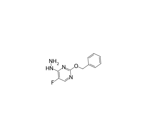 NNc1nc(OCc2ccccc2)ncc1F